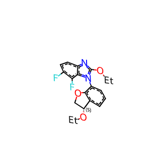 CCOc1nc2ccc(F)c(F)c2n1-c1cccc2c1OC[C@H]2OCC